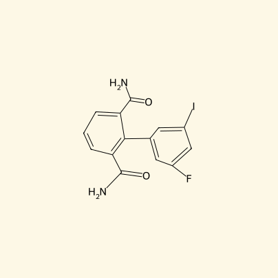 NC(=O)c1cccc(C(N)=O)c1-c1cc(F)cc(I)c1